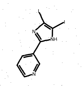 Ic1nc(-c2cccnc2)[nH]c1I